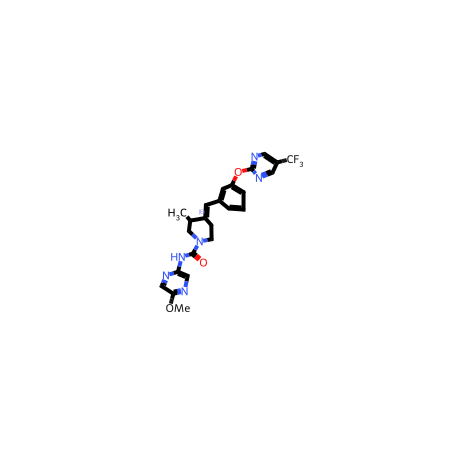 COc1cnc(NC(=O)N2CC/C(=C\c3cccc(Oc4ncc(C(F)(F)F)cn4)c3)C(C)C2)cn1